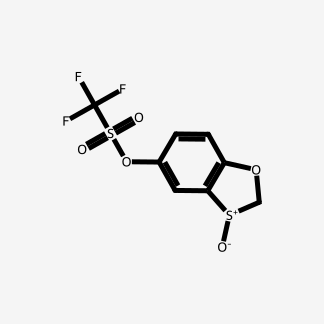 O=S(=O)(Oc1ccc2c(c1)[S+]([O-])CO2)C(F)(F)F